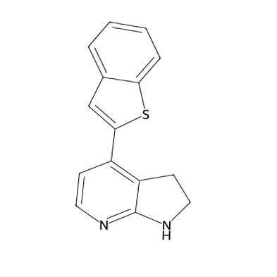 c1ccc2sc(-c3ccnc4c3CCN4)cc2c1